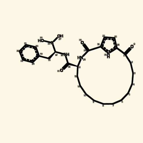 O=C1CCCCCCCCCCC[C@@H](C(=O)N[C@@H](Cc2ccccc2)B(O)O)NC(=O)c2ccc1[nH]2